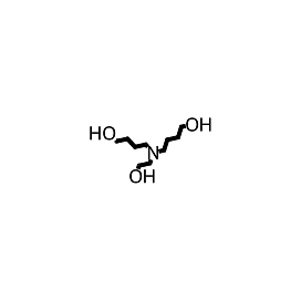 OCCCCN(CCO)CCCCO